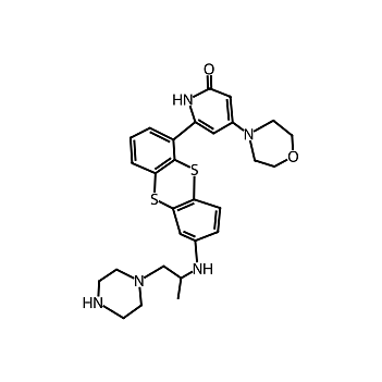 CC(CN1CCNCC1)Nc1ccc2c(c1)Sc1cccc(-c3cc(N4CCOCC4)cc(=O)[nH]3)c1S2